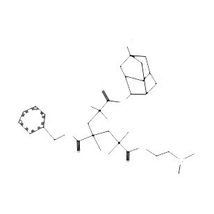 CCC(C)(CC(C)(CC(C)(C)C(=O)OCCN(C)C)C(=O)OCc1ccccc1)C(=O)OC1C2CC3CC1CC(OC(C)=O)(C3)C2